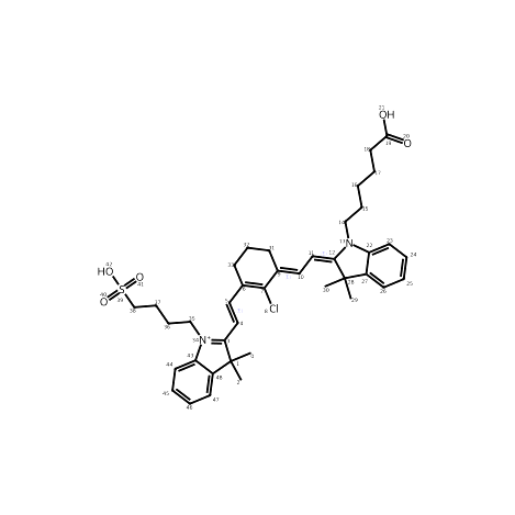 CC1(C)C(/C=C/C2=C(Cl)C(=C/C=C3/N(CCCCCC(=O)O)c4ccccc4C3(C)C)/CCC2)=[N+](CCCCS(=O)(=O)O)c2ccccc21